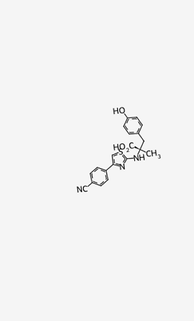 C[C@@](Cc1ccc(O)cc1)(Nc1nc(-c2ccc(C#N)cc2)cs1)C(=O)O